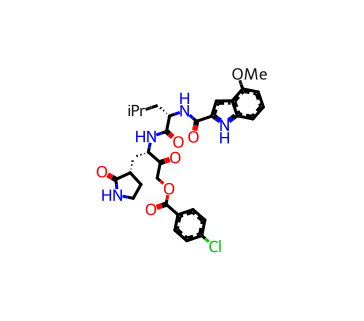 COc1cccc2[nH]c(C(=O)N[C@@H](CC(C)C)C(=O)N[C@@H](C[C@@H]3CCNC3=O)C(=O)COC(=O)c3ccc(Cl)cc3)cc12